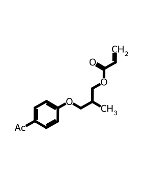 C=CC(=O)OCC(C)COc1ccc(C(C)=O)cc1